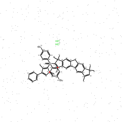 Cl.Cl.[CH2]=[Zr]([C]1=C(C)C(c2ccccc2)=CC1C)([C]1=C(C)c2cc3c(cc2C1(C)C)Cc1cc2c(cc1-3)C(C)=CC2(C)C)([c]1ccc(C(C)(C)C)cc1)[c]1ccc(C(C)(C)C)cc1